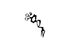 N#CCCOc1ccc(S(=O)(=O)Cl)cc1